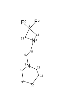 FC1(F)CN(CCN2CCCCC2)C1